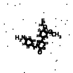 COc1cc(C2=NN(Cc3ccc(N)cc3)C(=O)SC2)ccc1OCF